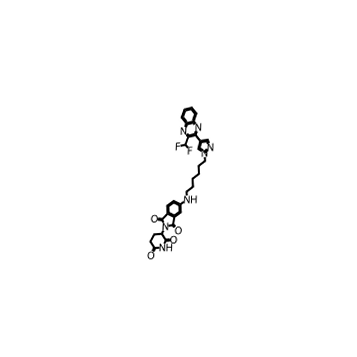 O=C1CCC(N2C(=O)c3ccc(NCCCCCCn4cc(-c5nc6ccccc6nc5C(F)F)cn4)cc3C2=O)C(=O)N1